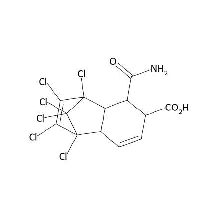 NC(=O)C1C(C(=O)O)C=CC2C1C1(Cl)C(Cl)=C(Cl)C2(Cl)C1(Cl)Cl